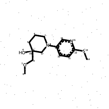 COC[C@]1(O)CCCN(c2ccc(SC)nc2)C1